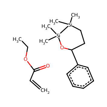 C=CC(=O)OCC.C[Si]1(C)CCC(c2ccccc2)O[Si]1(C)C